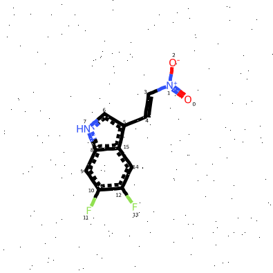 O=[N+]([O-])C=Cc1c[nH]c2cc(F)c(F)cc12